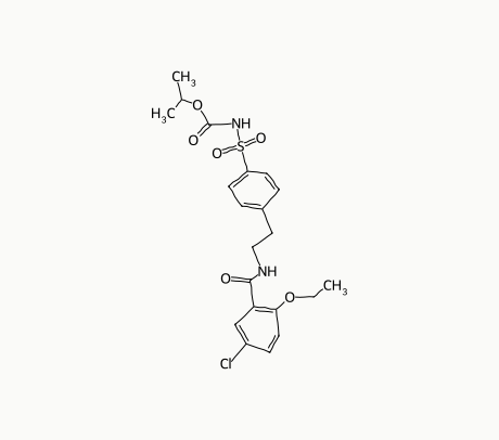 CCOc1ccc(Cl)cc1C(=O)NCCc1ccc(S(=O)(=O)NC(=O)OC(C)C)cc1